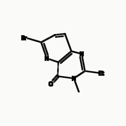 CCc1nc2ccc(Br)nc2c(=O)n1C